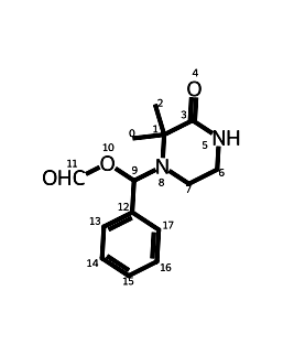 CC1(C)C(=O)NCCN1C(OC=O)c1ccccc1